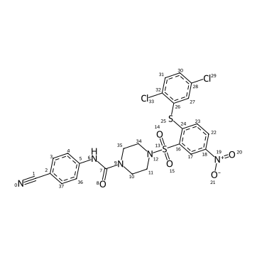 N#Cc1ccc(NC(=O)N2CCN(S(=O)(=O)c3cc([N+](=O)[O-])ccc3Sc3cc(Cl)ccc3Cl)CC2)cc1